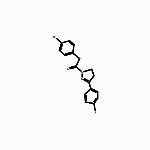 O=C(Cc1ccc(O)cc1)N1CCC(c2ccc(F)cc2)=N1